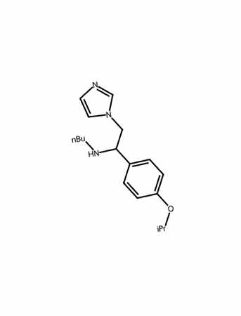 CCCCNC(Cn1ccnc1)c1ccc(OC(C)C)cc1